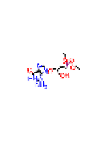 CCOP(=O)(CCC(CO)COn1cnc2c(=O)[nH]c(N)nc21)OCC